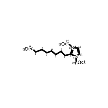 CCCCCCCCCCCCCCCCCc1n(CCCCCCCC)cc[n+]1CCCCCCCC